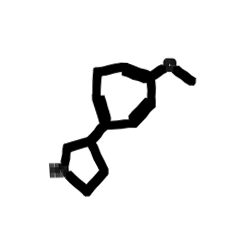 COC1=CCC=C(C2CCNC2)C=C1